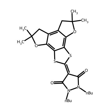 CCCCN1C(=O)C(=C2Sc3c4c(c5c(c3S2)OC(C)(C)C5)CC(C)(C)O4)C(=O)N1CCCC